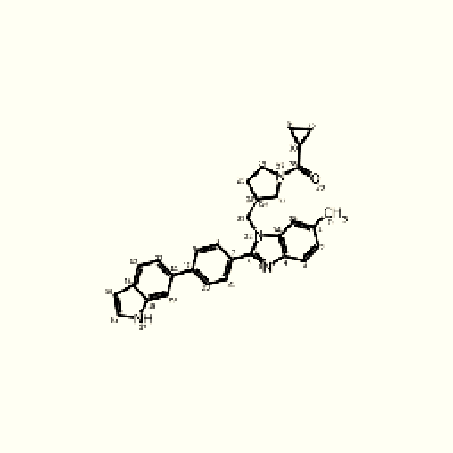 Cc1ccc2nc(-c3ccc(-c4ccc5cc[nH]c5c4)cc3)n(C[C@H]3CCN(C(=O)C4CC4)C3)c2c1